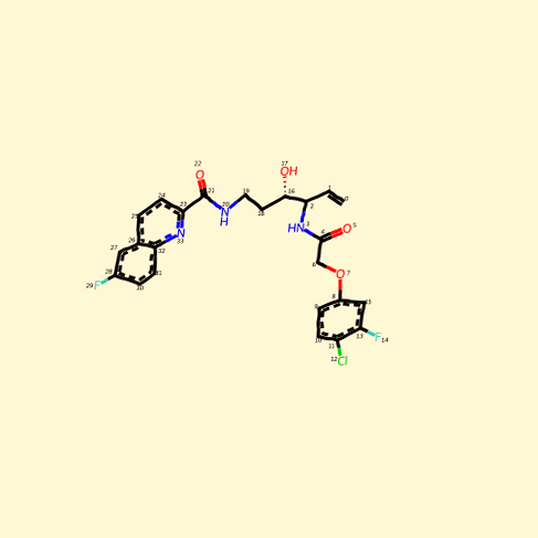 C=CC(NC(=O)COc1ccc(Cl)c(F)c1)[C@@H](O)CCNC(=O)c1ccc2cc(F)ccc2n1